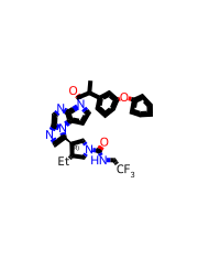 CCC1CN(C(=O)NCC(F)(F)F)C[C@@H]1c1cnc2cnc3c(ccn3C(=O)C(C)c3cccc(Oc4ccccc4)c3)n12